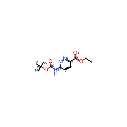 CCOC(=O)c1ccc(NC(=O)OC(C)(C)C)nn1